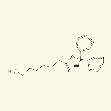 CC(C)(C)[Si](OC(=O)CCCCCCC(=O)O)(c1ccccc1)c1ccccc1